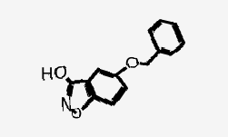 Oc1noc2ccc(OCc3ccccc3)cc12